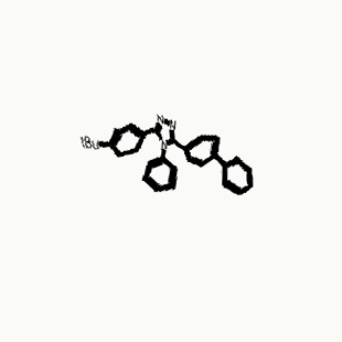 CC(C)(C)C1=CC=C(c2nnc(-c3ccc(C4C=CC=CC4)cc3)n2-c2ccccc2)CC1